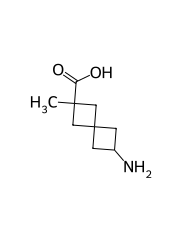 CC1(C(=O)O)CC2(CC(N)C2)C1